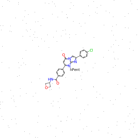 CCCCCn1c(-c2ccc(C(=O)NC3COC3)cc2)cc(=O)n2cc(-c3ccc(Cl)cc3)nc12